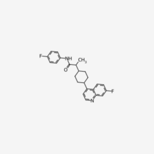 CC(C(=O)Nc1ccc(F)cc1)C1CCC(c2ccnc3cc(F)ccc23)CC1